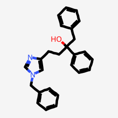 OC(CCc1cn(Cc2ccccc2)cn1)(Cc1ccccc1)c1ccccc1